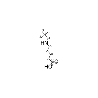 CC(C)(C)CNCCCCC(=O)O